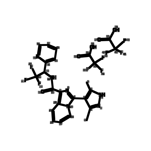 Cc1n[nH]c(C)c1-c1nc(C(=O)NC(c2ccccn2)C(F)(F)F)c2ccccn12.O=C(O)C(F)(F)F.O=C(O)C(F)(F)F